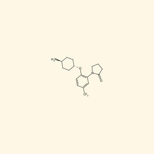 N[C@H]1CC[C@H](Oc2ccc(C(F)(F)F)cc2N2CCCC2=O)CC1